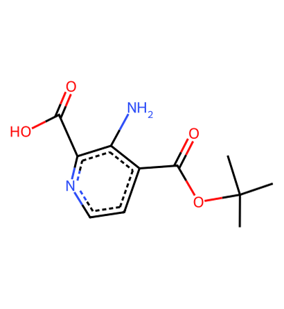 CC(C)(C)OC(=O)c1ccnc(C(=O)O)c1N